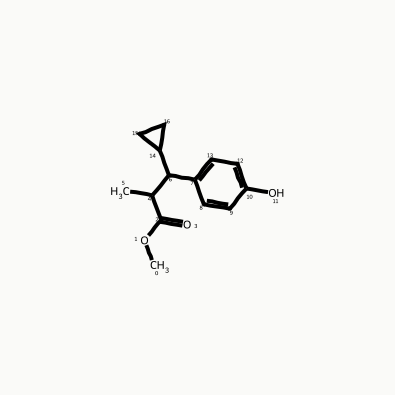 COC(=O)C(C)C(c1ccc(O)cc1)C1CC1